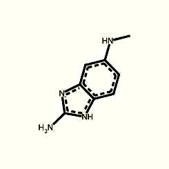 CNc1ccc2[nH]c(N)nc2c1